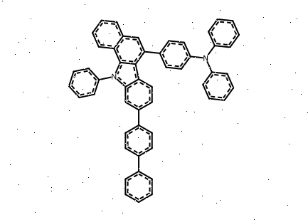 c1ccc(-c2ccc(-c3ccc4c5c(-c6ccc(N(c7ccccc7)c7ccccc7)cc6)cc6ccccc6c5n(-c5ccccc5)c4c3)cc2)cc1